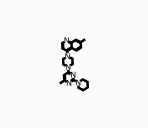 Cc1ccc2c(N3CCN(c4cc(C)nc(N5CCCCC5)n4)CC3)ccnc2c1